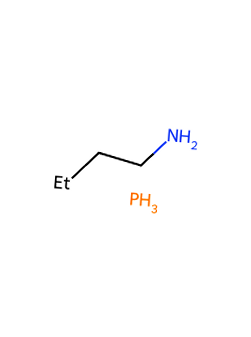 CCCCN.P